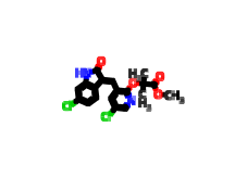 COC(=O)C(C)(C)Oc1ncc(Cl)cc1/C=C1/C(=O)Nc2cc(Cl)ccc21